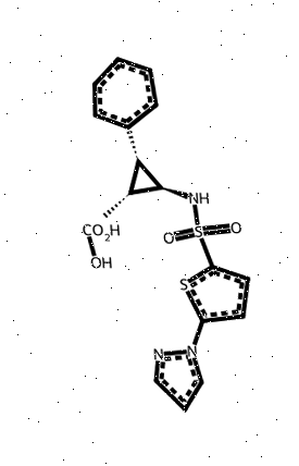 C[C@H]1[C@H](NS(=O)(=O)c2ccc(-n3cccn3)s2)[C@H]1c1ccccc1.O=C(O)O